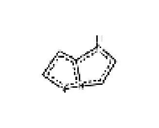 [c]1cnn2cc[nH]c12